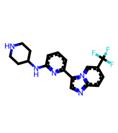 FC(F)(F)c1ccc2ncc(-c3cccc(NC4CCNCC4)n3)n2c1